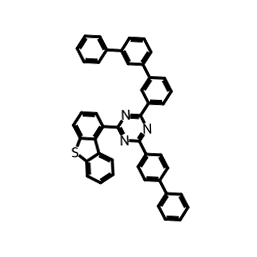 c1ccc(-c2ccc(-c3nc(-c4cccc(-c5cccc(-c6ccccc6)c5)c4)nc(-c4cccc5sc6ccccc6c45)n3)cc2)cc1